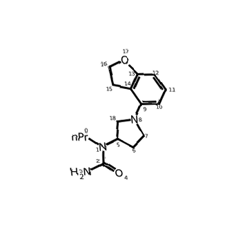 CCCN(C(N)=O)C1CCN(c2cccc3c2CCO3)C1